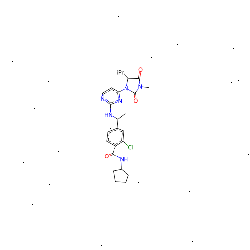 CC(Nc1nccc(N2C(=O)N(C)C(=O)C2C(C)C)n1)c1ccc(C(=O)NC2CCCC2)c(Cl)c1